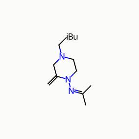 C=C1CN(CC(C)CC)CCN1N=C(C)C